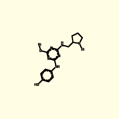 CCOc1nc(NCC2CCCN2CC)nc(Nc2ccc(O)cc2)n1